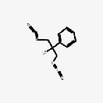 CC(CN=C=O)(CN=C=O)c1ccccc1